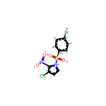 O=[N+]([O-])c1c(Cl)ccn1S(=O)(=O)c1ccc(Br)cc1